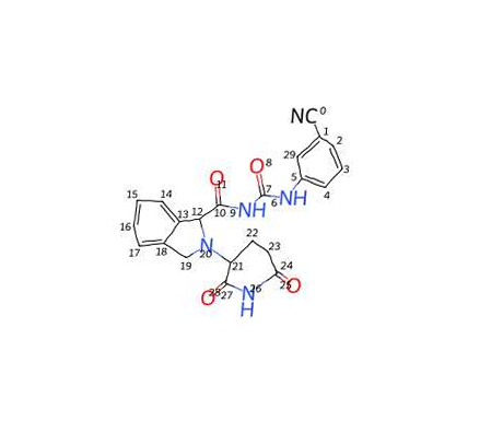 N#Cc1cccc(NC(=O)NC(=O)C2c3ccccc3CN2C2CCC(=O)NC2=O)c1